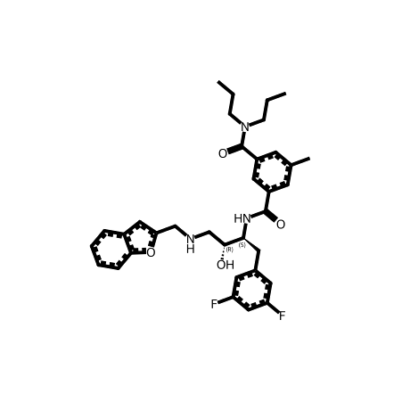 CCCN(CCC)C(=O)c1cc(C)cc(C(=O)N[C@@H](Cc2cc(F)cc(F)c2)[C@H](O)CNCc2cc3ccccc3o2)c1